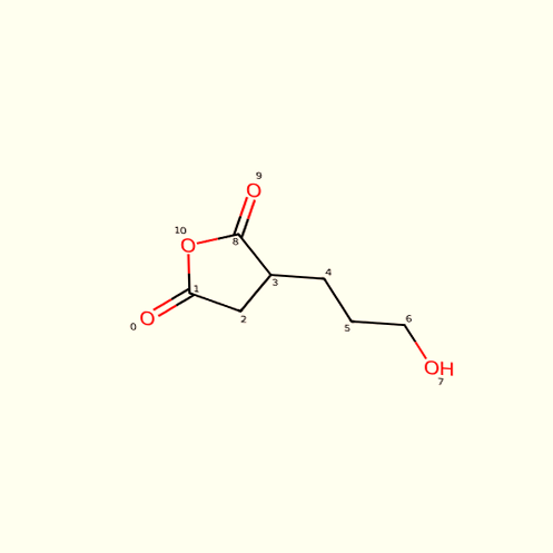 O=C1CC(CCCO)C(=O)O1